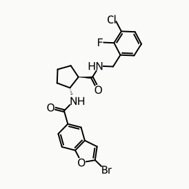 O=C(N[C@@H]1CCC[C@H]1C(=O)NCc1cccc(Cl)c1F)c1ccc2oc(Br)cc2c1